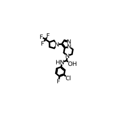 OC(Nc1ccc(F)c(Cl)c1)N1CCn2ncc(N3CCC(C(F)(F)F)C3)c2C1